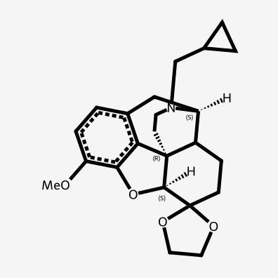 COc1ccc2c3c1O[C@@H]1C4(CCC5[C@H](C2)N(CC2CC2)CC[C@]351)OCCO4